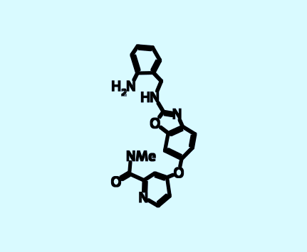 CNC(=O)c1cc(Oc2ccc3nc(NCc4ccccc4N)oc3c2)ccn1